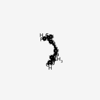 Cc1c(-c2ccc(F)cc2)n(Cc2ccc(OCCCCN3CCN(C(=O)COc4cccc5c(C6CCC(=O)NC6=O)nn(C)c45)CC3)cc2)c2ccccc12